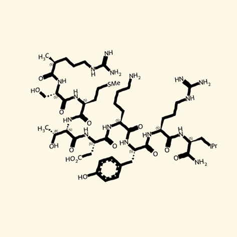 CSCC[C@H](NC(=O)[C@H](CO)NC(=O)[C@@H](C)CCCNC(=N)N)C(=O)N[C@H](C(=O)N[C@@H](CC(=O)O)C(=O)N[C@@H](CCCCN)C(=O)N[C@@H](Cc1ccc(O)cc1)C(=O)N[C@@H](CCCNC(=N)N)C(=O)N[C@@H](CC(C)C)C(N)=O)[C@@H](C)O